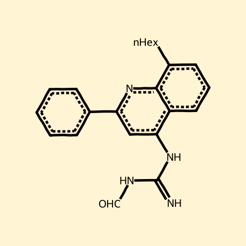 CCCCCCc1cccc2c(NC(=N)NC=O)cc(-c3ccccc3)nc12